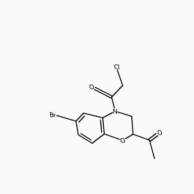 CC(=O)C1CN(C(=O)CCl)c2cc(Br)ccc2O1